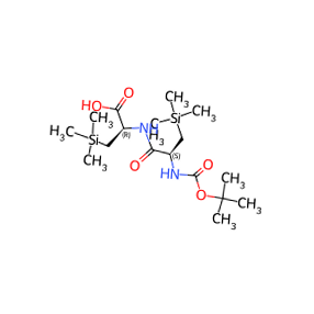 CC(C)(C)OC(=O)N[C@H](C[Si](C)(C)C)C(=O)N[C@@H](C[Si](C)(C)C)C(=O)O